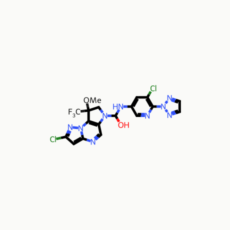 COC1(C(F)(F)F)CN(C(O)Nc2cnc(-n3nccn3)c(Cl)c2)c2cnc3cc(Cl)nn3c21